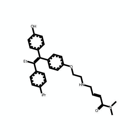 CC/C(=C(\c1ccc(O)cc1)c1ccc(OCCNC/C=C/C(=O)N(C)C)cc1)c1ccc(C(C)C)cc1